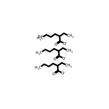 CCCCC(CC)C(=O)[O-].CCCCC(CC)C(=O)[O-].CCCCC(CC)C(=O)[O-].[Zr+3]